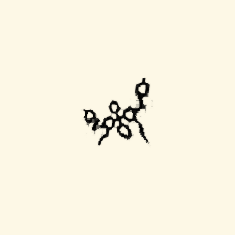 CC=Cc1cc(C(c2ccccc2)(c2ccccc2)c2ccc(OS(=O)(=O)c3ccc(C)cc3)c(C=CC)c2)ccc1OS(=O)(=O)c1ccc(C)cc1